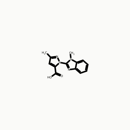 Cc1cc(C(=O)O)n(-c2nc3ccccc3n2C)n1